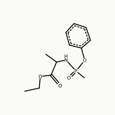 CCOC(=O)C(C)NP(C)(=O)Oc1ccccc1